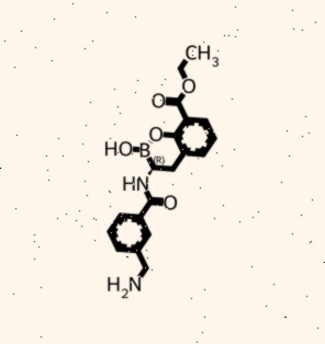 CCOC(=O)c1cccc2c1OB(O)[C@@H](NC(=O)c1cccc(CN)c1)C2